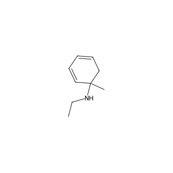 CCNC1(C)C=CC=CC1